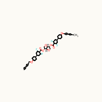 CC1C2C1C21C2C(Oc3ccc(-c4cc(F)c(C(=O)O[C@@H]5CO[C@@H]6[C@H]5OC[C@@H]6OC(=O)c5c(F)cc(-c6ccc(OCC7C8C7C87C8CC87)cc6)cc5F)c(F)c4)cc3)C21